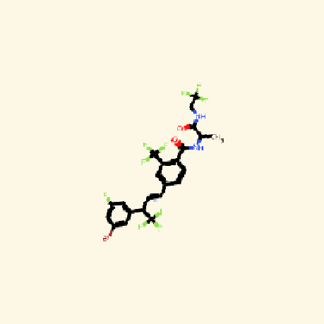 CC(NC(=O)c1ccc(/C=C/C(c2cc(F)cc(Br)c2)C(F)(F)F)cc1C(F)(F)F)C(=O)NCC(F)(F)F